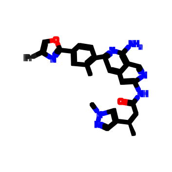 Cc1cc(-c2nc(C(C)C)co2)ccc1-c1cc2cc(NC(=O)C[C@@H](C)c3cnn(C)c3)ncc2c(N)n1